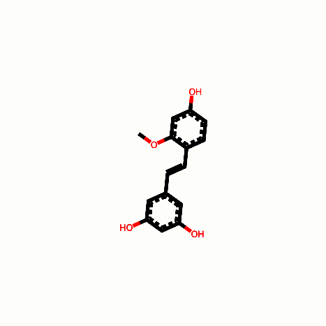 COc1cc(O)ccc1C=Cc1cc(O)cc(O)c1